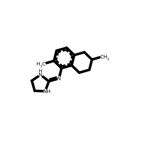 Cc1ccc2c(c1N=C1NCCN1)CCC(C)C2